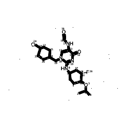 CC(C)OC1CCC(Nc2nc(=O)c(NC=O)cn2CC2CCC(Cl)CC2)C[C@@H]1F